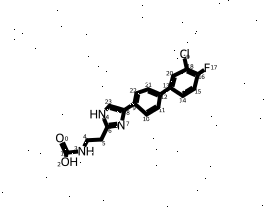 O=C(O)NCCc1nc(-c2ccc(-c3ccc(F)c(Cl)c3)cc2)c[nH]1